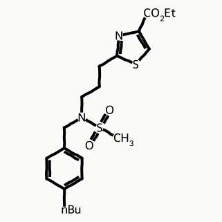 CCCCc1ccc(CN(CCCc2nc(C(=O)OCC)cs2)S(C)(=O)=O)cc1